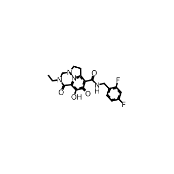 CCN1CN2CCc3c(C(=O)NCc4ccc(F)cc4F)c(=O)c(O)c(n32)C1=O